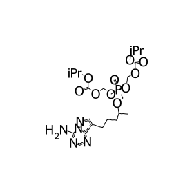 CC(C)OC(=O)OCOP(=O)(COC(C)CCCc1cnn2c(N)ncnc12)OCOC(=O)OC(C)C